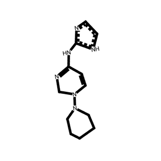 C1=CN(N2CCCCC2)CN=C1Nc1ncc[nH]1